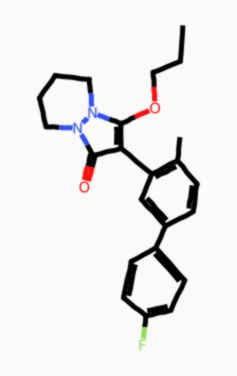 CCCOc1c(-c2cc(-c3ccc(F)cc3)ccc2C)c(=O)n2n1CCCC2